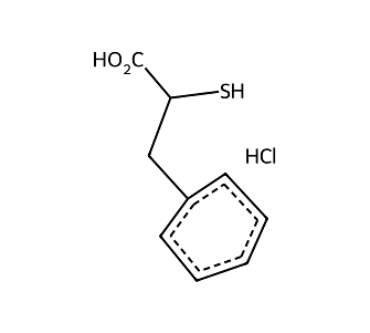 Cl.O=C(O)C(S)Cc1ccccc1